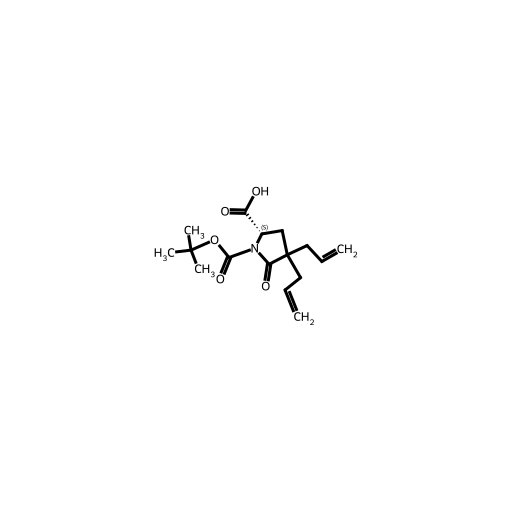 C=CCC1(CC=C)C[C@@H](C(=O)O)N(C(=O)OC(C)(C)C)C1=O